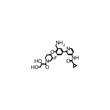 NCc1cc(-c2cc(NC(=O)C3CC3)ccn2)ccc1O[C@H]1CCN(C(=O)[C@@H](O)CO)C[C@H]1F